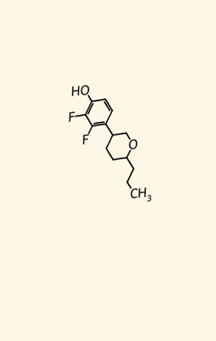 CCCC1CCC(c2ccc(O)c(F)c2F)CO1